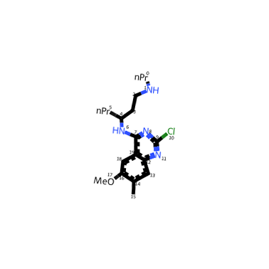 CCCNCCC(CCC)Nc1nc(Cl)nc2cc(C)c(OC)cc12